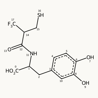 O=C(O)C(Cc1ccc(O)c(O)c1)NC(=O)C(CS)C(F)(F)F